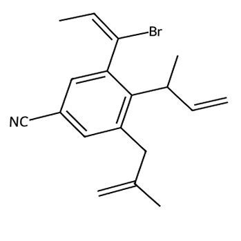 C=CC(C)c1c(CC(=C)C)cc(C#N)cc1/C(Br)=C\C